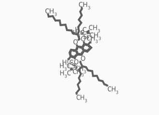 CCCCCCCCCCC(CCCCCCCC)COc1c2ccc(I)c(O[Si](C)(C)C(C)(C)C)c2c(OCC(CCCCCCCC)CCCCCCCCCC)c2ccc(I)c(O[Si](C)(C)C(C)(C)C)c12